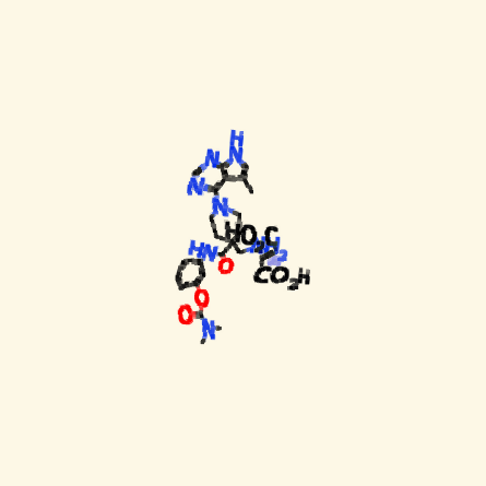 Cc1c[nH]c2ncnc(N3CCC(CN)(C(=O)Nc4cccc(OC(=O)N(C)C)c4)CC3)c12.O=C(O)/C=C/C(=O)O